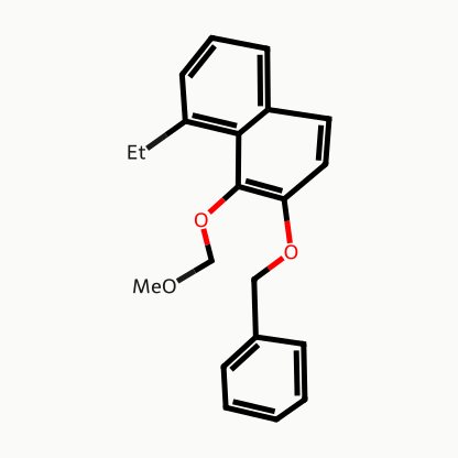 CCc1cccc2ccc(OCc3ccccc3)c(OCOC)c12